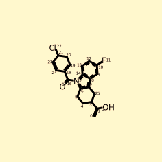 C=C(O)C1CCc2c(c3cc(F)ccc3n2C(=O)C2=CCC(Cl)C=C2)C1